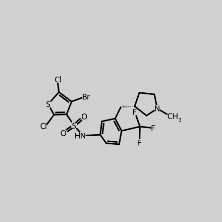 CN1CC[C@@H](Cc2cc(NS(=O)(=O)c3c(Cl)sc(Cl)c3Br)ccc2C(F)(F)F)C1